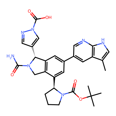 Cc1c[nH]c2ncc(-c3cc4c(c([C@@H]5CCCN5C(=O)OC(C)(C)C)c3)CN(C(N)=O)[C@@H]4c3cnn(C(=O)O)c3)cc12